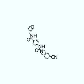 N#Cc1ccc2c(c1)CN(C(=O)Nc1ccc(C(=O)NCc3ccoc3)cc1)C2